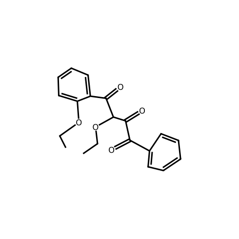 CCOc1ccccc1C(=O)C(OCC)C(=O)C(=O)c1ccccc1